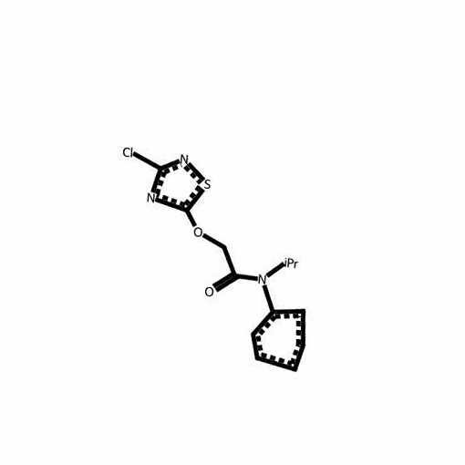 CC(C)N(C(=O)COc1nc(Cl)ns1)c1ccccc1